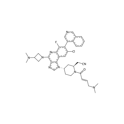 CN(C)C/C=C/C(=O)N1CC[C@H](n2cnc3c(N4CC(N(C)C)C4)nc4c(F)c(-c5cncc6ccccc56)c(Cl)cc4c32)C[C@H]1CC#N